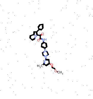 COCCOc1cc(C)nc(N2CCN(c3ccc(NC(=O)C(=O)c4c(-c5ccccc5)cc5ccccn45)cc3)CC2)c1